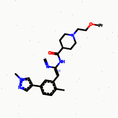 C=N/C(=C\c1cc(-c2cnn(C)c2)ccc1C)NC(=O)C1CCN(CCOC(C)C)CC1